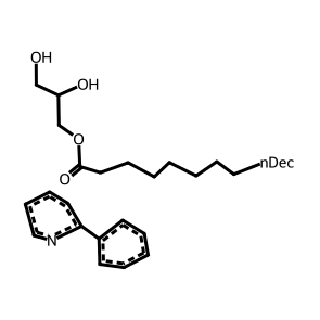 CCCCCCCCCCCCCCCCCC(=O)OCC(O)CO.c1ccc(-c2ccccn2)cc1